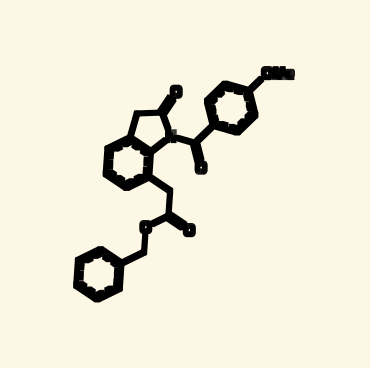 COc1ccc(C(=O)N2C(=O)Cc3cccc(CC(=O)OCc4ccccc4)c32)cc1